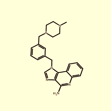 CN1CCN(Cc2cccc(Cn3cnc4c(N)nc5ccccc5c43)c2)CC1